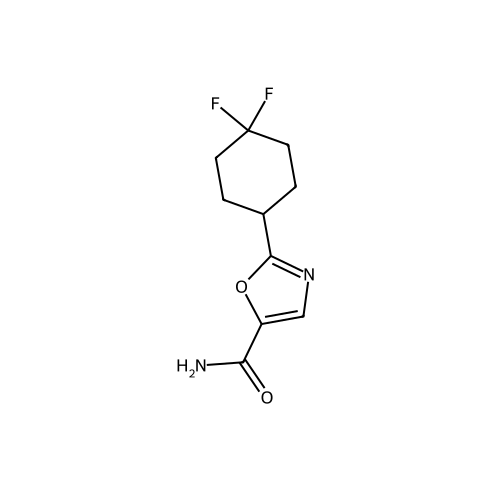 NC(=O)c1cnc(C2CCC(F)(F)CC2)o1